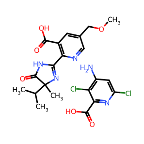 COCc1cnc(C2=NC(C)(C(C)C)C(=O)N2)c(C(=O)O)c1.Nc1cc(Cl)nc(C(=O)O)c1Cl